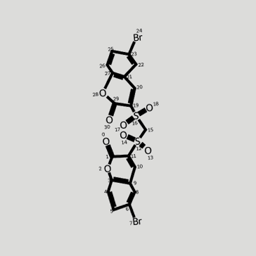 O=c1oc2ccc(Br)cc2cc1S(=O)(=O)CS(=O)(=O)c1cc2cc(Br)ccc2oc1=O